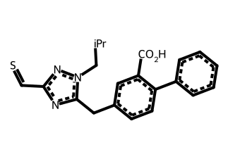 CC(C)Cn1nc(C=S)nc1Cc1ccc(-c2ccccc2)c(C(=O)O)c1